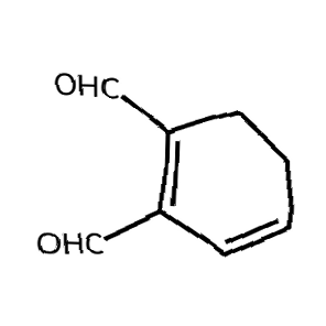 O=CC1=C(C=O)CCC=C1